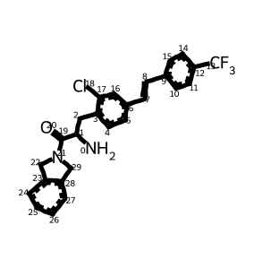 NC(Cc1ccc(/C=C/c2ccc(C(F)(F)F)cc2)cc1Cl)C(=O)N1Cc2ccccc2C1